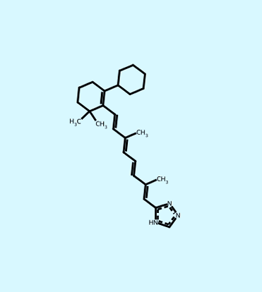 CC(/C=C/C1=C(C2CCCCC2)CCCC1(C)C)=C\C=C\C(C)=C\c1nnc[nH]1